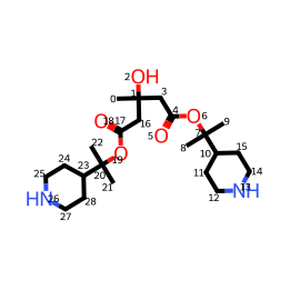 CC(O)(CC(=O)OC(C)(C)C1CCNCC1)CC(=O)OC(C)(C)C1CCNCC1